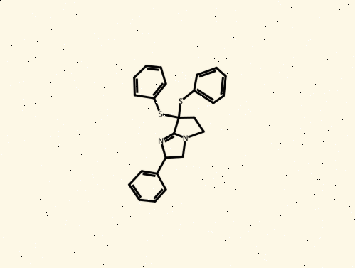 c1ccc(SC2(Sc3ccccc3)CCN3CC(c4ccccc4)N=C32)cc1